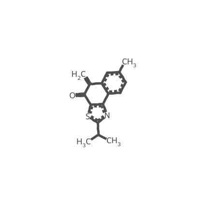 C=C1C(=O)c2sc(C(C)C)nc2-c2ccc(C)cc21